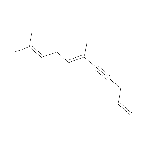 C=CCC#CC(C)=CCC=C(C)C